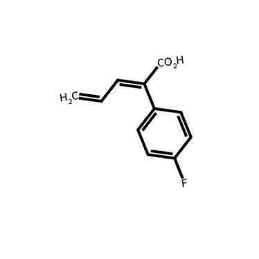 C=C/C=C(/C(=O)O)c1ccc(F)cc1